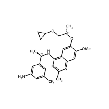 COc1cc2nc(C)nc(N[C@H](C)c3cc(N)cc(C(F)(F)F)c3)c2cc1O[C@@H](C)COC1CC1